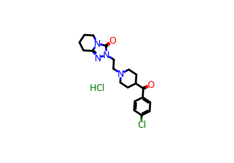 Cl.O=C(c1ccc(Cl)cc1)C1CCN(CCn2nc3n(c2=O)CCCC3)CC1